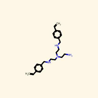 C=Cc1ccc(CNCCN(CCN)CCNCc2ccc(C=C)cc2)cc1